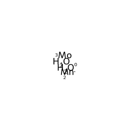 O.O.[Mn].[Mo]